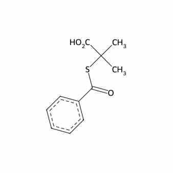 CC(C)(SC(=O)c1ccccc1)C(=O)O